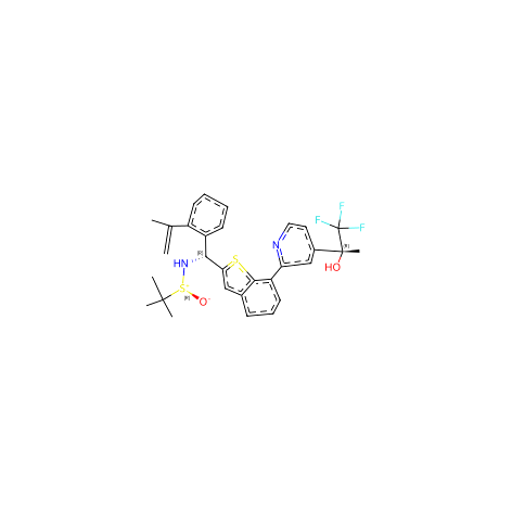 C=C(C)c1ccccc1[C@@H](N[S@@+]([O-])C(C)(C)C)c1cc2cccc(-c3cc([C@@](C)(O)C(F)(F)F)ccn3)c2s1